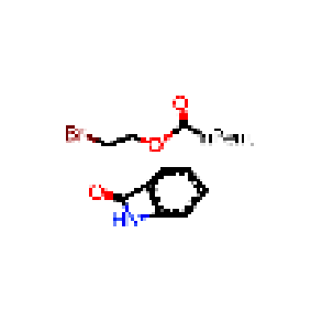 CCCCCC(=O)OCCBr.O=C1Nc2ccccc21